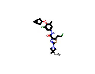 COC1(C)CN(c2nc(C(=O)Nc3cc(C)c(OC4CC5CC5C4)c(F)c3)c(CCF)s2)C1